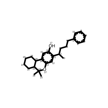 CC(CCCc1ccccc1)c1cc2c(cc1O)C1CCCCC1C(C)(C)O2